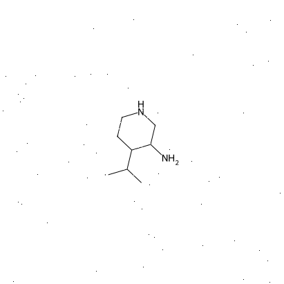 [CH2]C(C)C1CCNCC1N